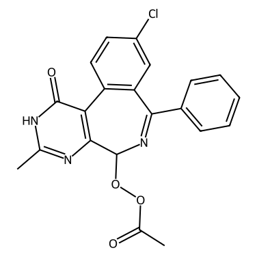 CC(=O)OOC1N=C(c2ccccc2)c2cc(Cl)ccc2-c2c1nc(C)[nH]c2=O